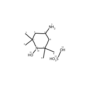 CC1(C)CC(N)CC(C)(C)N1O.O=S(=O)(O)O